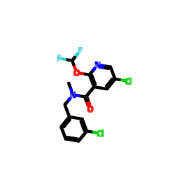 CN(Cc1cccc(Cl)c1)C(=O)c1cc(Cl)cnc1OC(F)F